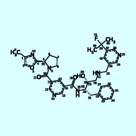 Cc1coc([C@H]2CCCN2C(=O)c2cncc(C(=O)N[C@@H](Cc3ccccc3)[C@H](O)CNCc3cncc(C(C)(C)F)c3)c2)n1